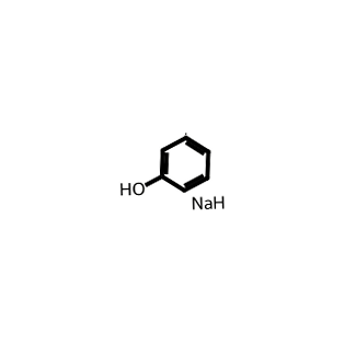 Oc1c[c]ccc1.[NaH]